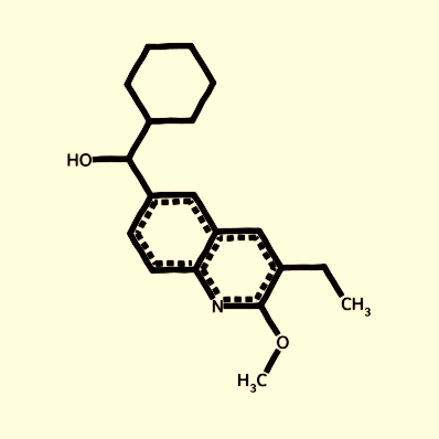 CCc1cc2cc(C(O)C3CCCCC3)ccc2nc1OC